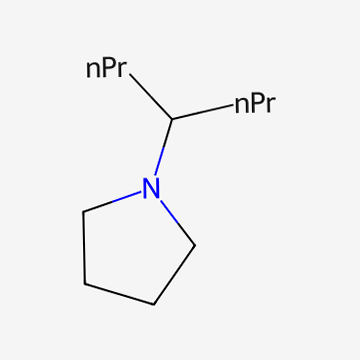 CCCC(CCC)N1CCCC1